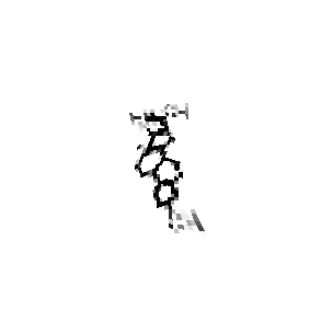 C[C@]12CCC3c4ccc(O)cc4CCC3C1Cc1c2n[nH]c1O